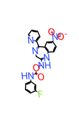 O=C(Nc1cccc(F)c1)ONC1=Nc2ccc([N+](=O)[O-])cc2C(c2ccccn2)=NC1